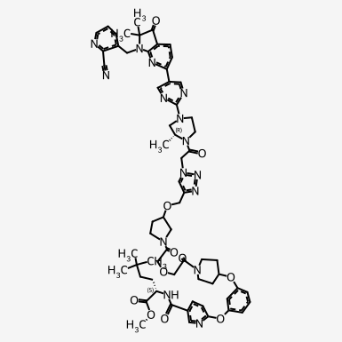 COC(=O)[C@H](CCC(C)(C)C)NC(=O)c1ccc(Oc2cccc(OC3CCN(C(=O)COCC(=O)N4CCC(OCc5cn(CC(=O)N6CCN(c7ncc(-c8ccc9c(n8)N(Cc8cccnc8C#N)C(C)(C)C9=O)cn7)C[C@H]6C)nn5)C4)CC3)c2)nc1